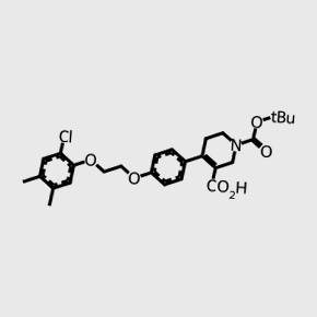 Cc1cc(Cl)c(OCCOc2ccc(C3=C(C(=O)O)CN(C(=O)OC(C)(C)C)CC3)cc2)cc1C